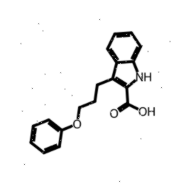 O=C(O)c1[nH]c2ccccc2c1CCCOc1ccccc1